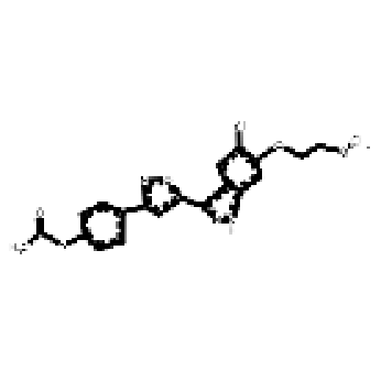 COCCOc1cc2[nH]nc(-c3cc(-c4ccc(NC(C)=O)cc4)no3)c2cc1Cl